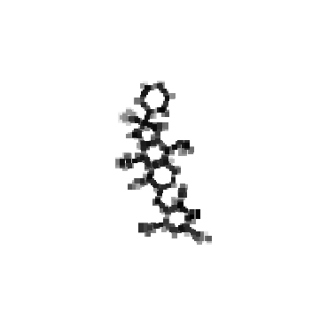 Cc1cc(C)c(CN2CCc3c(C)c4c(c(C)c3C2=O)OC(C)(C2CCCCC2)O4)c(=O)[nH]1